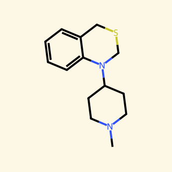 CN1CCC(N2CSCc3ccccc32)CC1